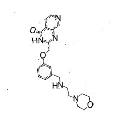 O=c1[nH]c(COc2cccc(CNCCN3CCOCC3)c2)nc2cnccc12